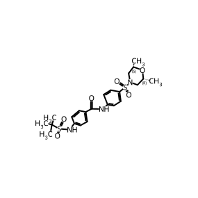 C[C@@H]1CN(S(=O)(=O)c2ccc(NC(=O)c3ccc(NS(=O)(=O)C(C)(C)C)cc3)cc2)C[C@H](C)O1